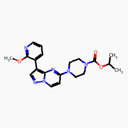 COc1ncccc1-c1cnn2ccc(N3CCN(C(=O)OC(C)C)CC3)nc12